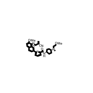 C=C(C#N)CNc1c(OC)ccc2ccc(-c3cccc(C(=O)N[C@H]4CC[C@@H](N(C)CCOC)CC4)n3)cc12